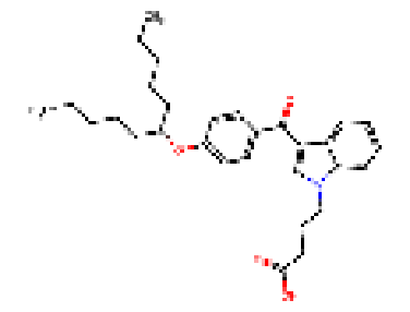 CCCCCC(CCCCC)Oc1ccc(C(=O)c2cn(CCCC(=O)O)c3ccccc23)cc1